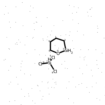 C1CC[SiH2]OC1.Cl[SiH](Cl)Cl